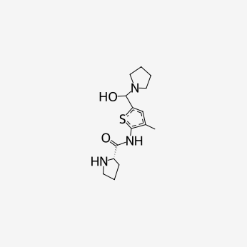 Cc1cc(C(O)N2CCCC2)sc1NC(=O)[C@@H]1CCCN1